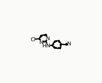 N#Cc1ccc(Nc2nccc(Cl)n2)cc1